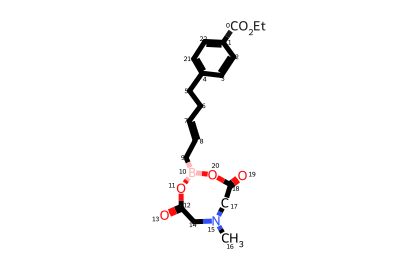 CCOC(=O)c1ccc(CC/C=C/CB2OC(=O)CN(C)CC(=O)O2)cc1